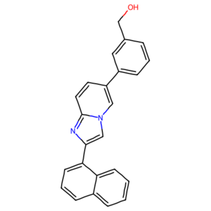 OCc1cccc(-c2ccc3nc(-c4cccc5ccccc45)cn3c2)c1